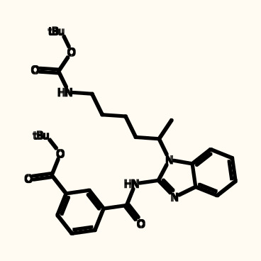 CC(CCCCNC(=O)OC(C)(C)C)n1c(NC(=O)c2cccc(C(=O)OC(C)(C)C)c2)nc2ccccc21